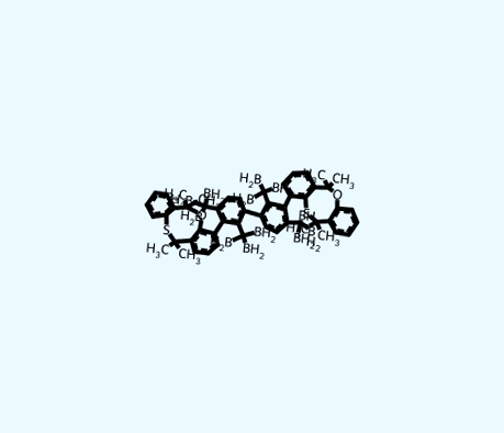 BC(B)(B)c1ccc(-c2ccc(C(B)(B)B)c(-c3cccc4c3SC(C)(C)c3ccccc3OC4(C)C)c2C(B)(B)B)c(C(B)(B)B)c1-c1cccc2c1OC(C)(C)c1ccccc1SC2(C)C